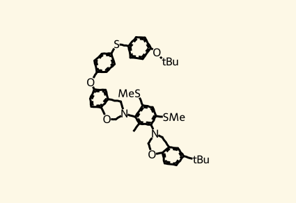 CSc1cc(SC)c(N2COc3ccc(C(C)(C)C)cc3C2)c(C)c1N1COc2ccc(Oc3ccc(Sc4ccc(OC(C)(C)C)cc4)cc3)cc2C1